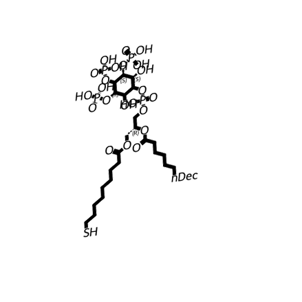 CCCCCCCCCCCCCCCC(=O)O[C@H](COC(=O)CCCCCCCCS)COP(=O)(O)OC1C(O)[C@@H](OP(=O)(O)O)C(OP(=O)(O)O)[C@@H](OP(=O)(O)O)[C@H]1O